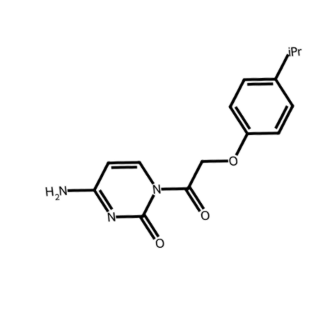 CC(C)c1ccc(OCC(=O)n2ccc(N)nc2=O)cc1